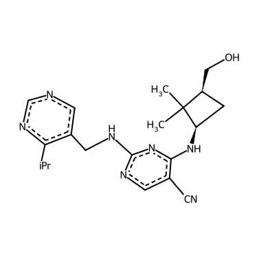 CC(C)c1ncncc1CNc1ncc(C#N)c(N[C@@H]2C[C@H](CO)C2(C)C)n1